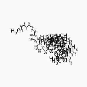 CC/C=C\C/C=C\C/C=C\C/C=C\C/C=C\C/C=C\CCC(=O)OC[C@@H](O[Si](C)(C)C(C)(C)C)[C@@H](O[Si](C)(C)C(C)(C)C)[C@H](O[Si](C)(C)C(C)(C)C)[C@@H](COC(C)=O)O[Si](C)(C)C(C)(C)C